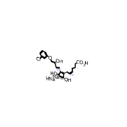 O=C(O)CCC/C=C\C[C@@H]1[C@@H](/C=C/[C@@H](O)COc2cccc(Cl)c2)[C@H](O)C[C@@H]1O.[NaH].[NaH]